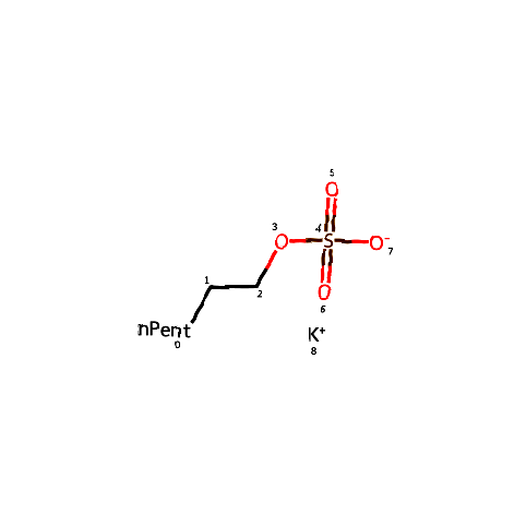 CCCCCCCOS(=O)(=O)[O-].[K+]